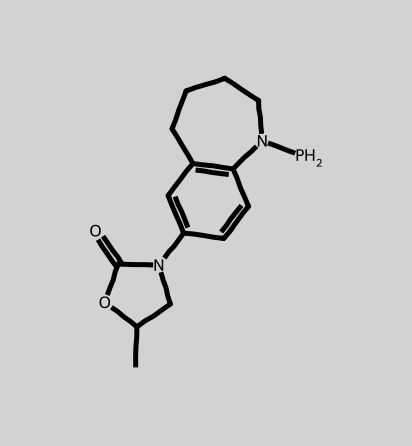 CC1CN(c2ccc3c(c2)CCCCN3P)C(=O)O1